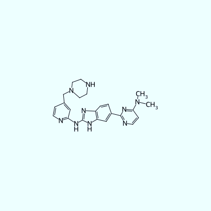 CN(C)c1ccnc(-c2ccc3nc(Nc4cc(CN5CCNCC5)ccn4)[nH]c3c2)n1